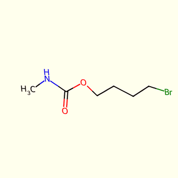 CNC(=O)OCCCCBr